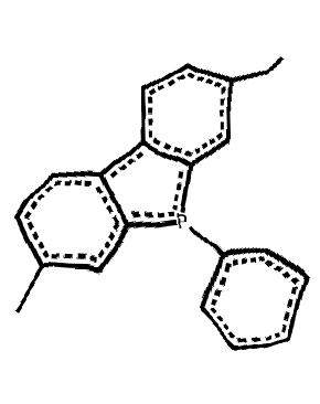 Cc1ccc2c3ccc(C)cc3p(-c3ccccc3)c2c1